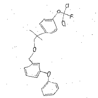 CC(C)(COCc1cccc(Oc2ccccc2)c1)c1ccc(OC(F)(Cl)Cl)cc1